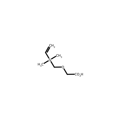 C=C[Si](C)(C)COCC(=O)O